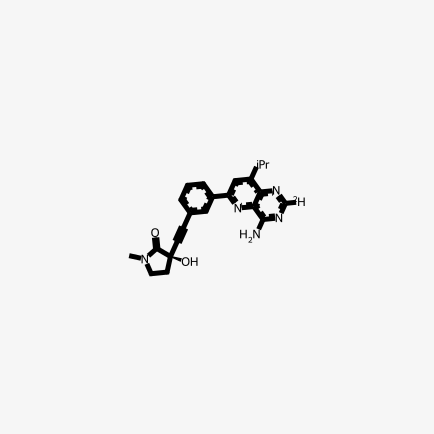 [2H]c1nc(N)c2nc(-c3cccc(C#C[C@]4(O)CCN(C)C4=O)c3)cc(C(C)C)c2n1